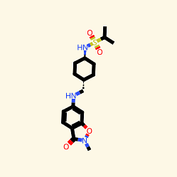 CC(C)S(=O)(=O)N[C@H]1CC[C@H](CNc2ccc3c(=O)n(C)oc3c2)CC1